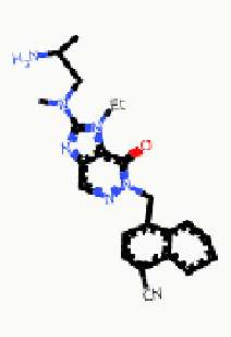 CCn1c(N(C)CC(C)N)nc2cnn(Cc3ccc(C#N)c4ccccc34)c(=O)c21